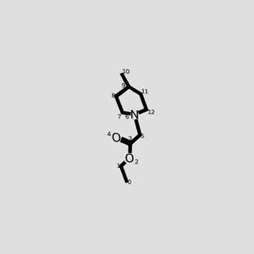 CCOC(=O)CN1CCC(C)CC1